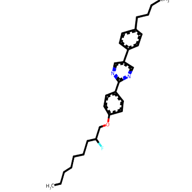 CCCCCCCC(F)COc1ccc(-c2ncc(-c3ccc(CCCC)cc3)cn2)cc1